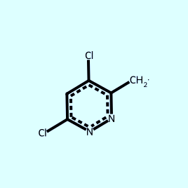 [CH2]c1nnc(Cl)cc1Cl